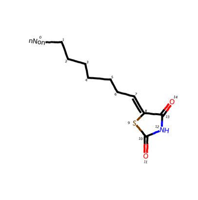 CCCCCCCCCCCCCCC/C=C1\SC(=O)NC1=O